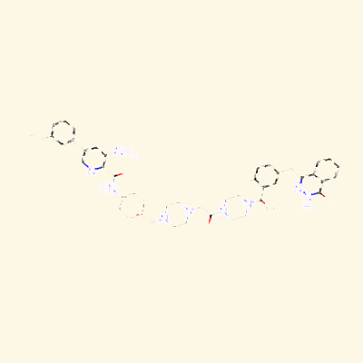 CCc1cccc(-c2cnc(C(=O)NC34CCC(CN5CCN(CC(=O)N6CCN(C(=O)c7cc(Cc8n[nH]c(=O)c9ccccc89)ccc7F)CC6)CC5)(CC3)OC4)c(N)c2)c1